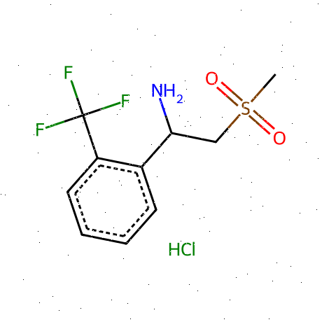 CS(=O)(=O)CC(N)c1ccccc1C(F)(F)F.Cl